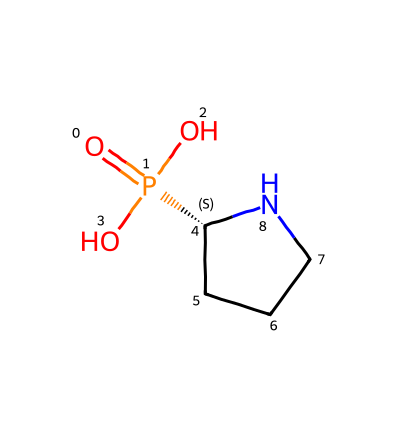 O=P(O)(O)[C@H]1CCCN1